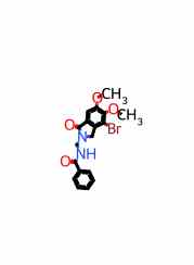 COc1cc2c(c(Br)c1OC)CN(CNC(=O)c1ccccc1)C2=O